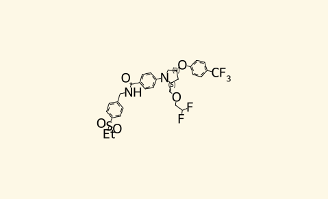 CCS(=O)(=O)c1ccc(CNC(=O)c2ccc(N3C[C@H](Oc4ccc(C(F)(F)F)cc4)C[C@H]3COCC(F)F)cc2)cc1